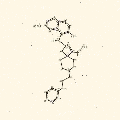 COc1ccc2ncc(Cl)c([C@H](F)CCC3(C(=O)NO)CCN(CCCc4ccccc4)CC3)c2c1